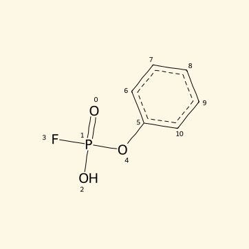 O=P(O)(F)Oc1ccccc1